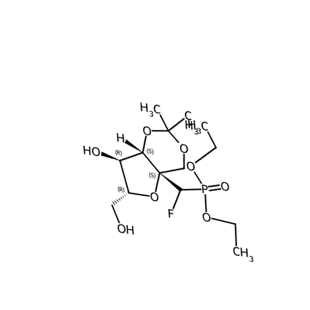 CCOP(=O)(OCC)C(F)[C@]12COC(C)(C)O[C@H]1[C@H](O)[C@@H](CO)O2